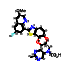 COc1cnc2c(-c3nc4ccc5c(c4s3)OC[C@@H](CN(C(=O)O)c3cnc(C)nc3)O5)cc(F)cc2c1